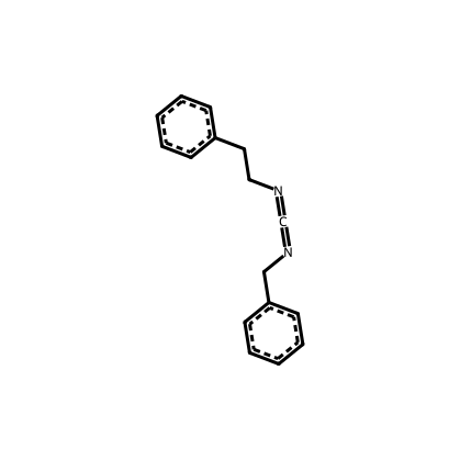 C(=NCCc1ccccc1)=NCc1ccccc1